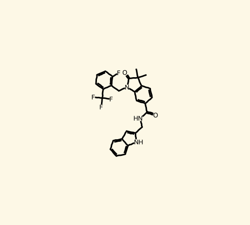 CC1(C)C(=O)N(Cc2c(F)cccc2C(F)(F)F)c2cc(C(=O)NCc3cc4ccccc4[nH]3)ccc21